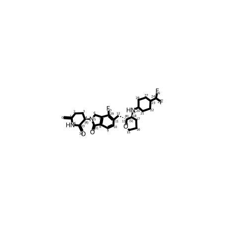 C=C1CC[C@@H](N2Cc3c(ccc(C[C@H]4OCCC[C@@H]4NC4CCC(C(F)F)CC4)c3F)C2=O)C(=O)N1